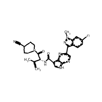 C=C(C)[C@@H](NC(=O)c1c[nH]c2ncc(-c3nn(C)c4cc(Cl)ccc34)nc12)C(=O)N1CCC(C#N)CC1